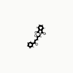 O=C(CCC(=O)c1ccccc1)CN1C(=O)c2ccccc2C1=O